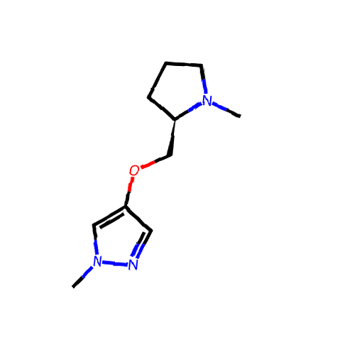 CN1CCC[C@@H]1COc1cnn(C)c1